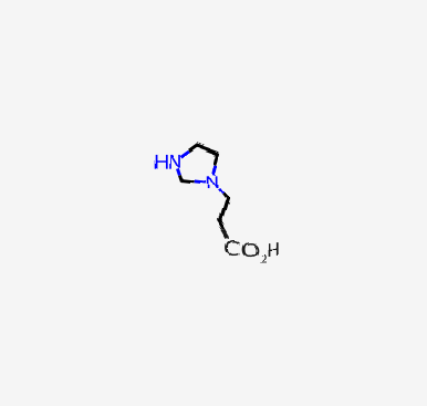 O=C(O)CCN1CCNC1